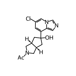 CC(=O)N1C[C@@H]2CC(O)(c3cc(Cl)cn4cncc34)C[C@@H]2C1